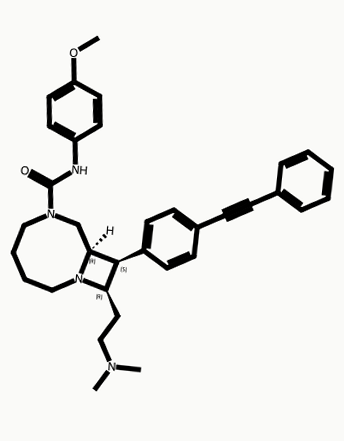 COc1ccc(NC(=O)N2CCCCN3[C@H](CCN(C)C)[C@H](c4ccc(C#Cc5ccccc5)cc4)[C@@H]3C2)cc1